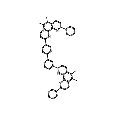 Cc1c(C)c2ccc(-c3ccc(-c4cccc(-c5ccc6c(C)c(C)c7ccc(-c8ccccc8)nc7c6n5)c4)cc3)nc2c2nc(-c3ccccc3)ccc12